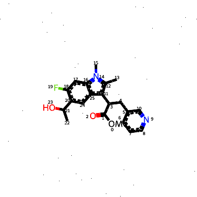 COC(=O)C(Cc1cccnc1)c1c(C)n(C)c2cc(F)c(C(C)O)cc12